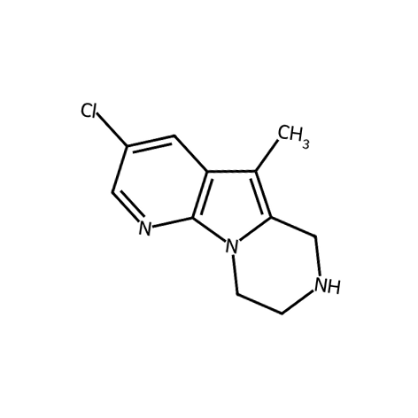 Cc1c2n(c3ncc(Cl)cc13)CCNC2